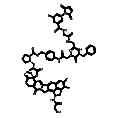 CC[C@@]1(OC(=O)N(C)C[C@@H]2CCCN2C(=O)OCc2ccc(NC(=O)CNC(=O)[C@H](Cc3ccccc3)NC(=O)CNC(=O)CNC(=O)c3cc(I)cc(N4C(=O)C=CC4=O)c3)cc2)C(=O)OCc2c1cc1n(c2=O)Cc2c-1nc1cc(F)c(C)c3c1c2[C@@H](NC(=O)CO)C3